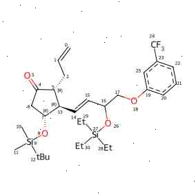 C=CC[C@H]1C(=O)C[C@@H](O[Si](C)(C)C(C)(C)C)[C@@H]1C=CC(COc1cccc(C(F)(F)F)c1)O[Si](CC)(CC)CC